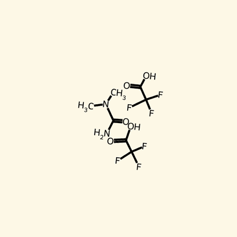 CN(C)C(N)=O.O=C(O)C(F)(F)F.O=C(O)C(F)(F)F